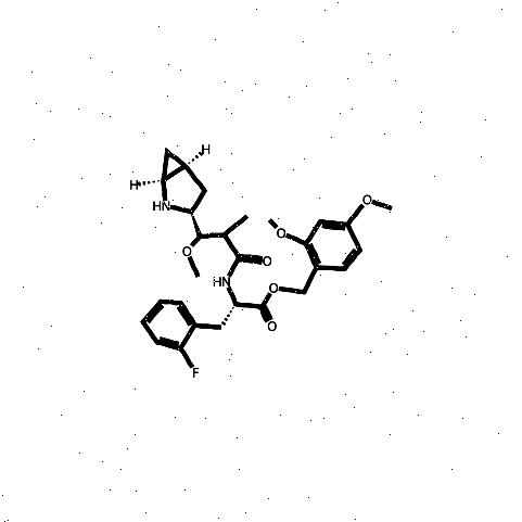 COc1ccc(COC(=O)[C@H](Cc2ccccc2F)NC(=O)C(C)C(OC)[C@@H]2C[C@@H]3C[C@@H]3N2)c(OC)c1